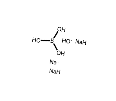 OB(O)O.[Na+].[NaH].[NaH].[OH-]